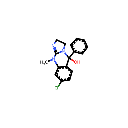 CN1C2=NCCN2C(O)(c2ccccc2)c2ccc(Cl)cc21